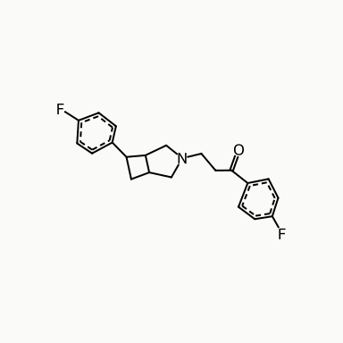 O=C(CCN1CC2CC(c3ccc(F)cc3)C2C1)c1ccc(F)cc1